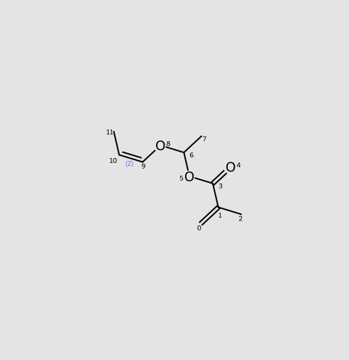 C=C(C)C(=O)OC(C)O/C=C\C